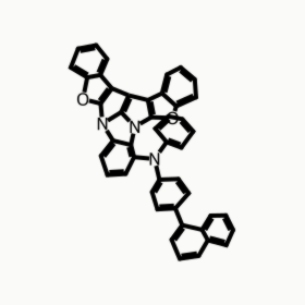 c1ccc(N(c2ccc(-c3cccc4ccccc34)cc2)c2cccc3c2n2c4oc5ccccc5c4c4c5c6ccccc6oc5n3c42)cc1